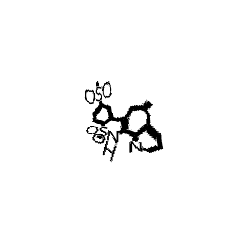 Cc1cc2c(c3ncccc13)NS(=O)(=O)c1ccc(S(C)(=O)=O)cc1-2